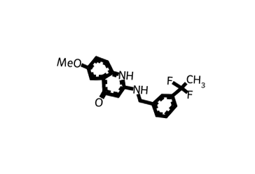 COc1ccc2[nH]c(NCc3cccc(C(C)(F)F)c3)cc(=O)c2c1